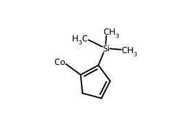 C[Si](C)(C)C1=[C]([Co])CC=C1